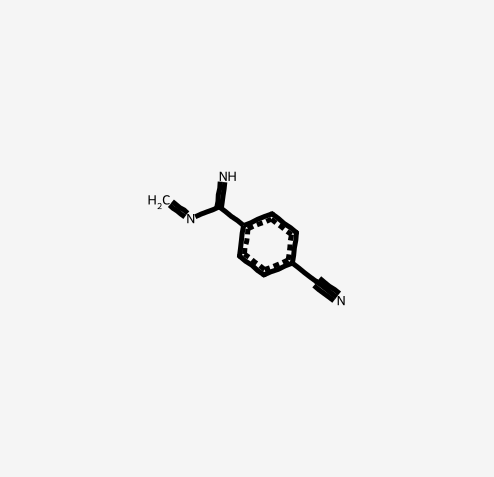 C=NC(=N)c1ccc(C#N)cc1